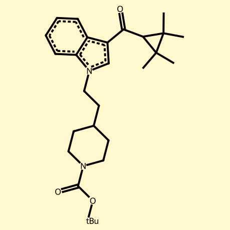 CC(C)(C)OC(=O)N1CCC(CCn2cc(C(=O)C3C(C)(C)C3(C)C)c3ccccc32)CC1